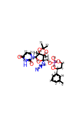 Cc1cccc([C@@H]2CCO[P@](=O)(OC[C@@]3(N=[N+]=[N-])OC(n4ccc(=O)[nH]c4=O)[C@@H]4OC(C)(C)O[C@@H]43)O2)c1